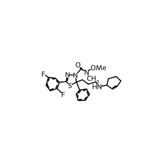 CON(C)C(=O)N1N=C(c2cc(F)ccc2F)SC1(CCCNC1C=CCCC1)c1ccccc1